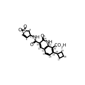 O=C(NC1C=CS(=O)(=O)C1)c1cc2ccc(C3CCC3)c(C(=O)O)c2[nH]c1=O